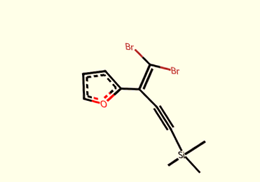 C[Si](C)(C)C#CC(=C(Br)Br)c1ccco1